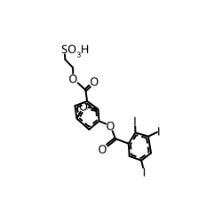 O=C(Oc1cc2cc(C(=O)OCCS(=O)(=O)O)c1o2)c1cc(I)cc(I)c1I